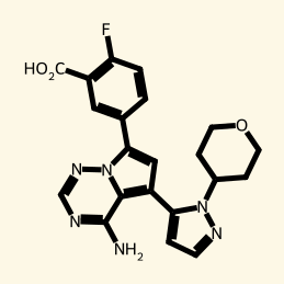 Nc1ncnn2c(-c3ccc(F)c(C(=O)O)c3)cc(-c3ccnn3C3CCOCC3)c12